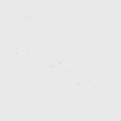 NC(=O)c1ccc(C=C(F)C(F)(c2cc(Cl)c(Cl)c(Cl)c2)C(F)F)cc1C(F)(F)F